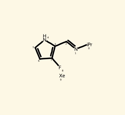 CC(C)N=Cc1[nH]ccc1F.[Xe]